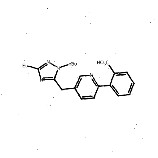 CCCCn1nc(CC)nc1Cc1ccc(-c2ccccc2C(=O)O)nc1